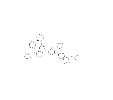 Cn1ccc(Nc2ncnc3c(-c4ccc(Cl)c(-c5ncccc5-c5ccc6ncnc(Nc7cn[nH]c7)c6c5)c4F)cc(-c4cccnc4-c4c(F)cccc4Cl)cc23)n1